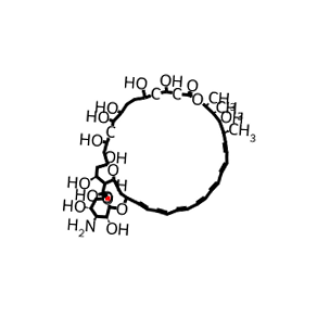 C[C@@H]1[C@H](O)[C@@H](C)/C=C/C=C/C=C/C=C/C=C/C=C/C=C/C(OC2OC[C@@H](O)[C@H](N)[C@H]2O)C[C@@H]2OC(O)(CC(O)CC(O)C(O)CCC(O)CC(O)CC(=O)O[C@H]1C)C[C@H](O)C2C(=O)O